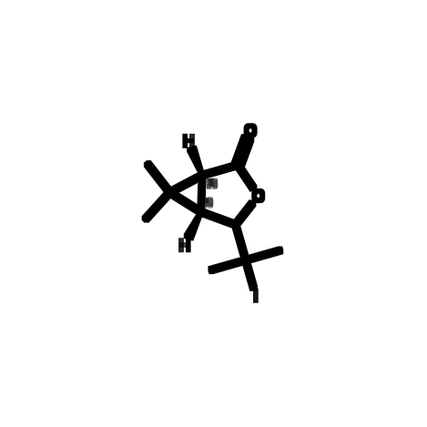 CC(C)(I)C1OC(=O)[C@@H]2[C@H]1C2(C)C